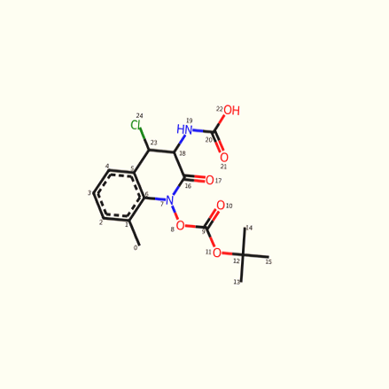 Cc1cccc2c1N(OC(=O)OC(C)(C)C)C(=O)C(NC(=O)O)C2Cl